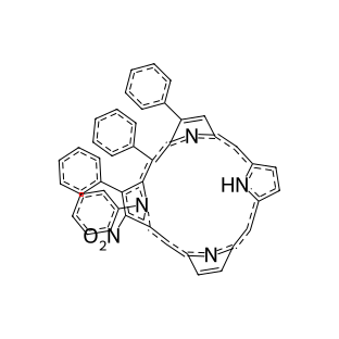 O=[N+]([O-])c1c(-c2ccccc2)c2c(-c3ccccc3)c3nc(cc4ccc(cc5nc(cc1n2-c1ccccc1)C=C5)[nH]4)C=C3c1ccccc1